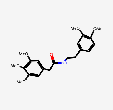 COc1ccc(CCNC(=O)Cc2cc(OC)c(OC)c(OC)c2)cc1OC